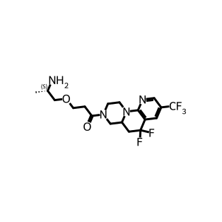 C[C@H](N)COCCC(=O)N1CCN2c3ncc(C(F)(F)F)cc3C(F)(F)CC2C1